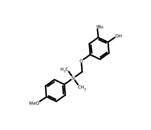 COc1ccc([Si](C)(C)COc2ccc(O)c(C(C)(C)C)c2)cc1